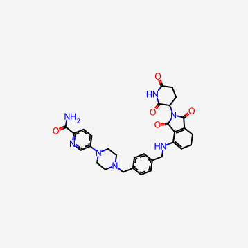 NC(=O)c1ccc(N2CCN(Cc3ccc(CNC4=CCCC5=C4C(=O)N(C4CCC(=O)NC4=O)C5=O)cc3)CC2)cn1